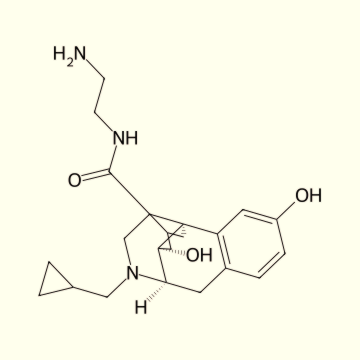 NCCNC(=O)C1C[C@]23CCN(CC4CC4)[C@H](Cc4ccc(O)cc42)[C@]3(O)C1